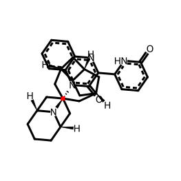 O=c1cccc(-c2nc3ccccc3n([C@H]3C[C@H]4CCC[C@@H](C3)N4[C@@H]3C[C@@H]4CC5[C@@H](C4)C[C@H]5C3)c2=O)[nH]1